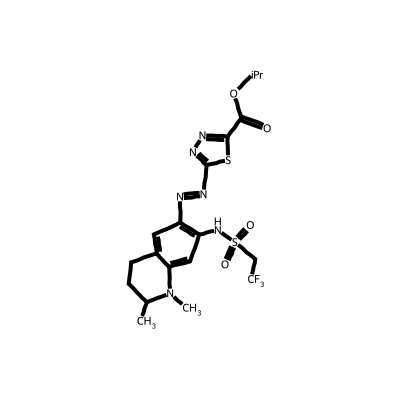 CC(C)OC(=O)c1nnc(N=Nc2cc3c(cc2NS(=O)(=O)CC(F)(F)F)N(C)C(C)CC3)s1